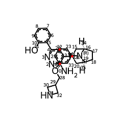 Nc1nnc(-c2ccccc2O)cc1N1C[C@H]2CC[C@@H](C1)N2c1cccc(OCC2CNC2)c1